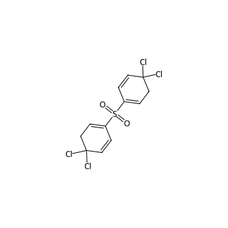 O=S(=O)(C1=CCC(Cl)(Cl)C=C1)C1=CCC(Cl)(Cl)C=C1